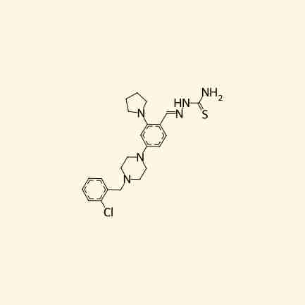 NC(=S)N/N=C/c1ccc(N2CCN(Cc3ccccc3Cl)CC2)cc1N1CCCC1